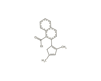 CCC(=O)c1c(C2=C(C)C=C(C)C2)ccc2ccccc12